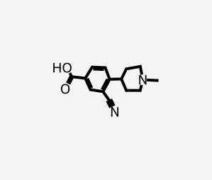 CN1CCC(c2ccc(C(=O)O)cc2C#N)CC1